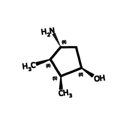 C[C@@H]1[C@H](C)[C@H](O)C[C@H]1N